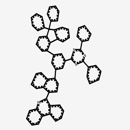 c1ccc(-c2nc(-c3ccccc3)nc(-c3cc(-c4cccc5c4-c4ccccc4C5(c4ccccc4)c4ccccc4)cc(-c4ccc(-c5nc6ccccc6c6ccccc56)c5ccccc45)c3)n2)cc1